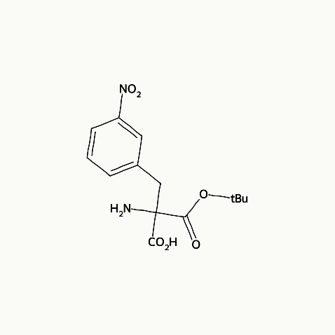 CC(C)(C)OC(=O)C(N)(Cc1cccc([N+](=O)[O-])c1)C(=O)O